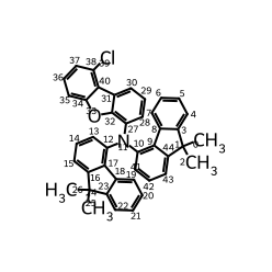 CC1(C)c2ccccc2-c2c(N(c3cccc4c3-c3ccccc3C4(C)C)c3cccc4c3oc3cccc(Cl)c34)cccc21